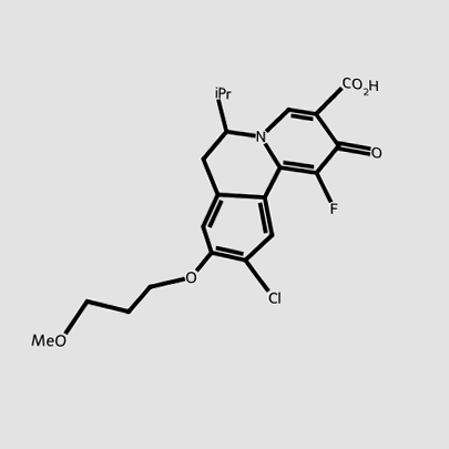 COCCCOc1cc2c(cc1Cl)-c1c(F)c(=O)c(C(=O)O)cn1C(C(C)C)C2